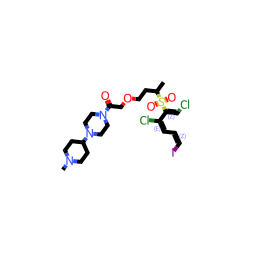 CC(CCOCC(=O)N1CCN(C2CCN(C)CC2)CC1)S(=O)(=O)C(=C\Cl)/C(Cl)=C\C=C/I